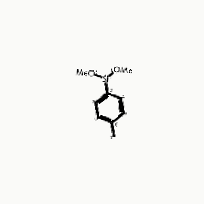 CO[Si](OC)c1ccc(C)cc1